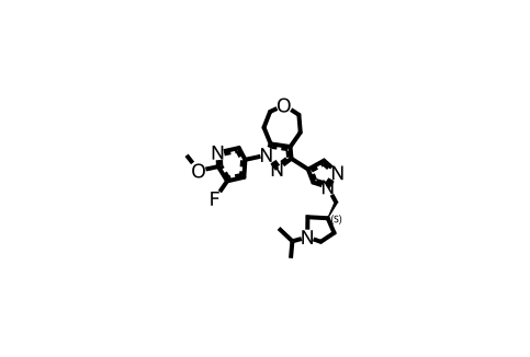 COc1ncc(-n2nc(-c3cnn(C[C@H]4CCN(C(C)C)C4)c3)c3c2CCOCC3)cc1F